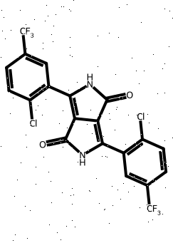 O=C1NC(c2cc(C(F)(F)F)ccc2Cl)=C2C(=O)NC(c3cc(C(F)(F)F)ccc3Cl)=C12